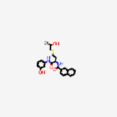 CCC(O)CSCCC(NC(=O)c1ccc2ccccc2c1)C(=O)Nc1cccc(O)c1